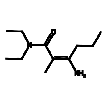 CCCC(N)=C(C)C(=O)N(CC)CC